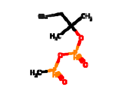 C[PH](=O)O[PH](=O)OC(C)(C)CC(C)(C)C